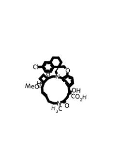 CO[C@H]1/C=C/CCN(C)C(=O)C[C@](O)(C(=O)O)c2ccc3c(c2)N(C[C@@H]2CC[C@H]21)C[C@@]1(CCCc2cc(Cl)ccc21)CO3